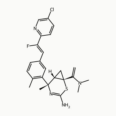 C=C(N(C)C)[C@]12C[C@H]1[C@@](C)(c1cc(/C=C(\F)c3ccc(Cl)cn3)ccc1C)N=C(N)S2